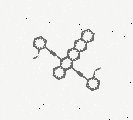 CCOc1ccccc1C#Cc1c2ccccc2c(C#Cc2ccccc2OCC)c2cc3cc4ccccc4cc3cc12